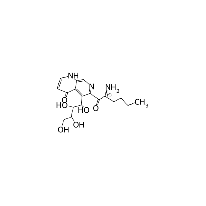 CCCC[C@H](N)C(=O)c1ncc2[nH]ccc(=O)c2c1C(O)C(O)C(O)CO